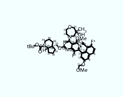 C#Cc1c(F)ccc2cc(OCOC)cc(-c3nc(OC)c4c(N5CCOC[C@@](C)(O)C5)nc(OC[C@]56CCC[C@H]5N(C(=O)OC(C)(C)C)CCC6)nc4c3F)c12